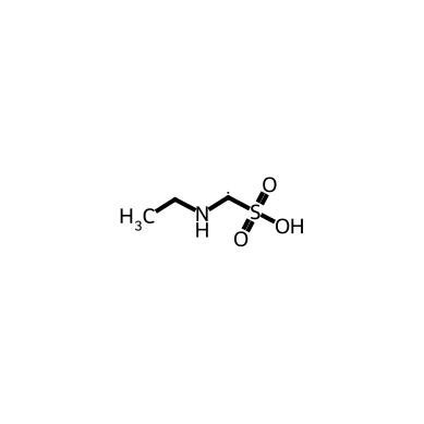 CCN[CH]S(=O)(=O)O